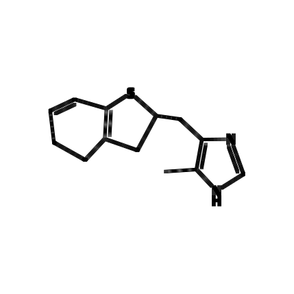 Cc1[nH]cnc1CC1CC2=C(C=CCC2)S1